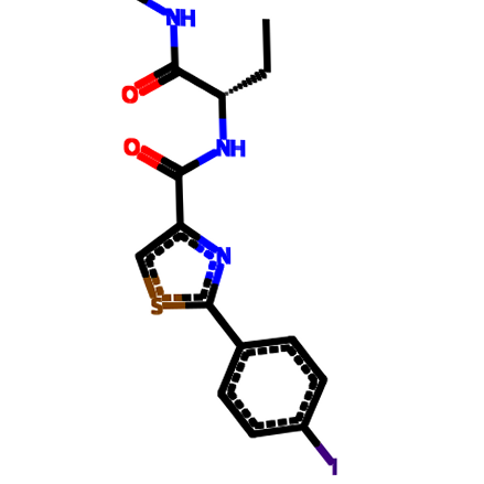 CC[C@H](NC(=O)c1csc(-c2ccc(I)cc2)n1)C(=O)NC